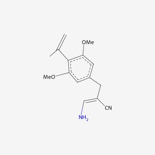 C=C(C)c1c(OC)cc(CC(C#N)=CN)cc1OC